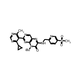 CCC(C)n1c(=O)c(NCc2ccc(S(C)(=O)=O)cn2)nc2cnc(-c3c(C)ncnc3C3CC3)nc21